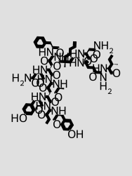 C=CCCC[C@](C)(CC[C@@H](NC(=O)CCC(=O)[C@@H](N)N[C@H](C=O)[C@@H](C)CC)N[C@H](C=O)CC(N)=O)C(=O)N[C@@H](N[C@H](C=O)Cc1ccccc1)C(=O)C[C@@H](N[C@H](C=O)CC(N)=O)C(=O)N[C@@H](N[C@@H](C)C=O)C(=O)C[C@@H](N[C@H](C=O)Cc1ccc(O)cc1)C(=O)N[C@@H](N[C@H](C=O)Cc1ccc(O)cc1)C(=O)CC